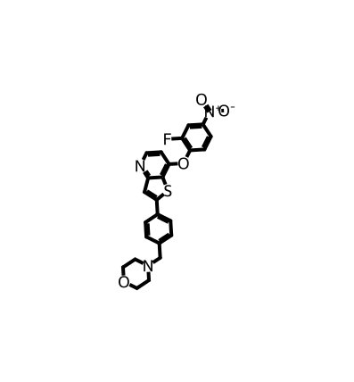 O=[N+]([O-])c1ccc(Oc2ccnc3cc(-c4ccc(CN5CCOCC5)cc4)sc23)c(F)c1